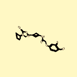 O=C(COc1ccc(Cl)c(F)c1)NC12CC([C@H]3CN(C4CCC4)C(=O)O3)(C1)C2